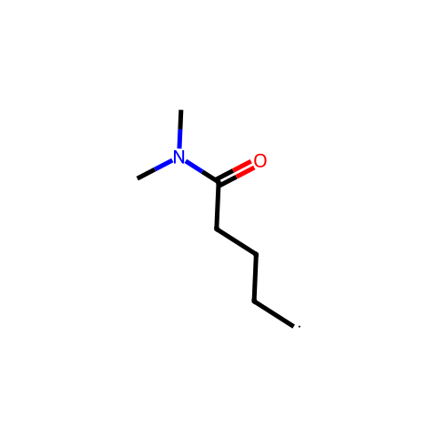 [CH2]CCCC(=O)N(C)C